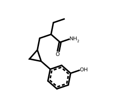 CCC(CC1CC1c1cccc(O)c1)C(N)=O